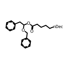 CCCCCCCCCCCCCCC(=O)OC(Cc1ccccc1)OCc1ccccc1